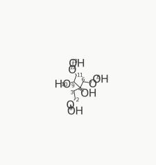 OOCCC(O)(COO)C(O)COO